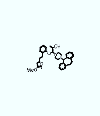 COc1cc(C=Cc2ccccc2OC(C(C)O)N2CCN(C3c4ccccc4CCc4ccccc43)CC2)on1